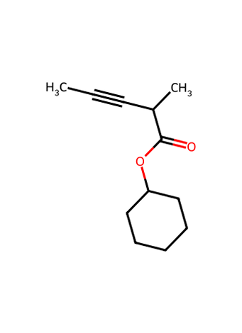 CC#CC(C)C(=O)OC1CCCCC1